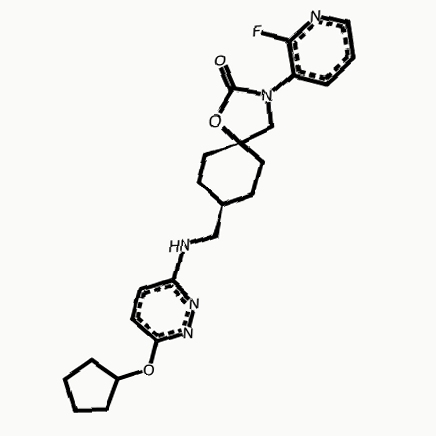 O=C1O[C@]2(CC[C@H](CNc3ccc(OC4CCCC4)nn3)CC2)CN1c1cccnc1F